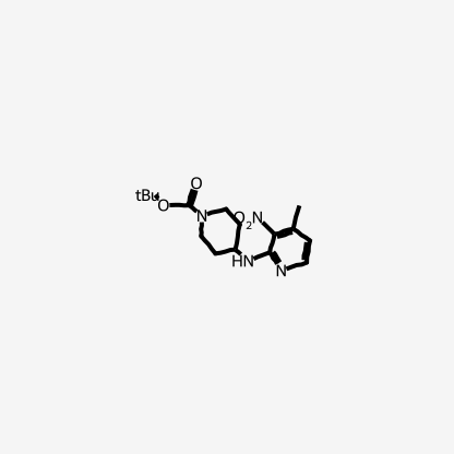 Cc1ccnc(NC2CCN(C(=O)OC(C)(C)C)CC2)c1[N+](=O)[O-]